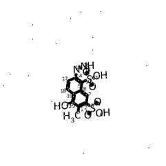 Cc1c(S(=O)(=O)O)cc2c(S(=O)(=O)O)c(N=N)ccc2c1O